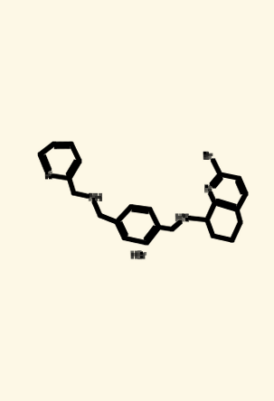 Br.Brc1ccc2c(n1)C(NCc1ccc(CNCc3ccccn3)cc1)CCC2